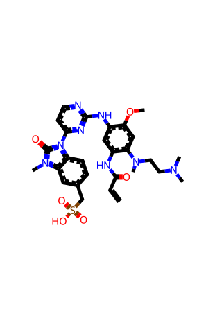 C=CC(=O)Nc1cc(Nc2nccc(-n3c(=O)n(C)c4cc(CS(=O)(=O)O)ccc43)n2)c(OC)cc1N(C)CCN(C)C